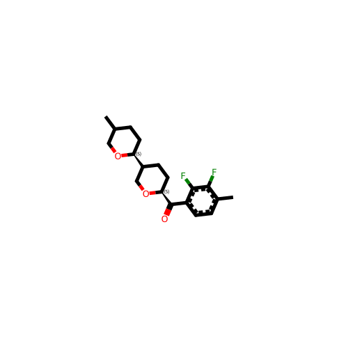 Cc1ccc(C(=O)[C@@H]2CCC([C@@H]3CCC(C)CO3)CO2)c(F)c1F